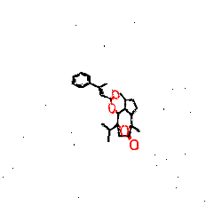 C/C(=C\C(=O)OC1C2C(C)CCC2C2(C)OC1(C(C)C)CC2=O)c1ccccc1